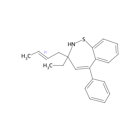 C/C=C/CC1(CC)C=C(c2ccccc2)c2ccccc2SN1